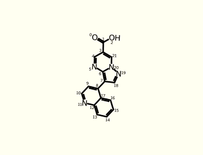 O=C(O)c1cnc2c(-c3ccnc4ccccc34)cnn2c1